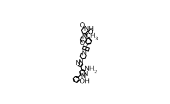 C[C@@]1(N2CCOc3c2cccc3[C@]23CC[C@]2(N2CCC(n4cc(-c5cc(-c6ccccc6O)nnc5N)cn4)CC2)CC3)CCC(=O)NC1=O